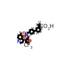 Cc1ccc2ncccc2c1S(=O)(=O)N(Cc1ccc(-c2cccc(C(C)(C)C(=O)O)c2)cc1)Cc1ccc(C(F)(F)F)o1